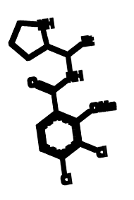 CCC(NC(=O)c1ccc(Cl)c(Cl)c1OC)C1CCCN1